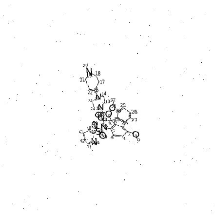 COc1ccc2c(c1)C(OC(=O)N1CCN(C3CCN(C)CC3)CC1)(c1ccccc1OC)C(=O)N2S(=O)(=O)c1ccccn1